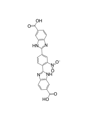 O=C(O)c1ccc2nc(-c3ccc(-c4nc5ccc(C(=O)O)cc5[nH]4)c([N+](=O)[O-])c3)[nH]c2c1